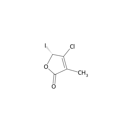 CC1=C(Cl)[C@@H](I)OC1=O